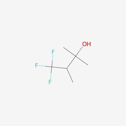 CC(C(C)(C)O)C(F)(F)F